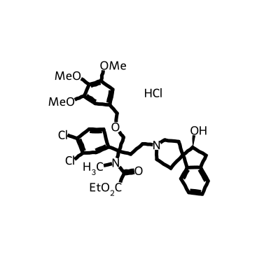 CCOC(=O)C(=O)N(C)C(CCN1CCC2(CC1)c1ccccc1C[C@@H]2O)(COCc1cc(OC)c(OC)c(OC)c1)c1ccc(Cl)c(Cl)c1.Cl